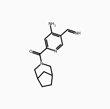 N=Cc1cnc(C(=O)N2CC3CCC(C3)C2)cc1N